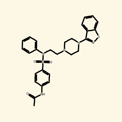 CC(=O)Nc1ccc(S(=O)(=O)N(CCN2CCN(c3nsc4ccccc34)CC2)c2ccccc2)cc1